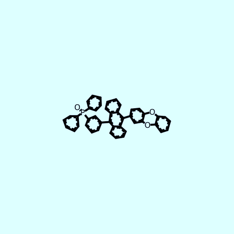 O=P(c1ccccc1)(c1ccccc1)c1cccc(-c2c3ccccc3c(-c3ccc4c(c3)Oc3ccccc3O4)c3ccccc23)c1